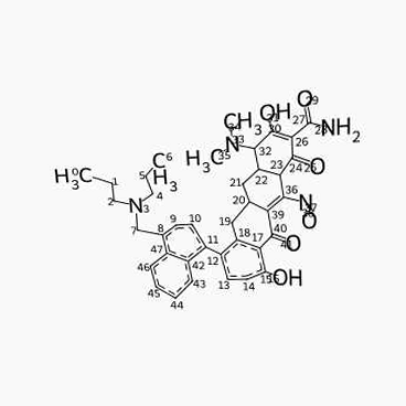 CCCN(CCC)Cc1ccc(-c2ccc(O)c3c2CC2CC4C(C(=O)C(C(N)=O)=C(O)C4N(C)C)C(N=O)=C2C3=O)c2ccccc12